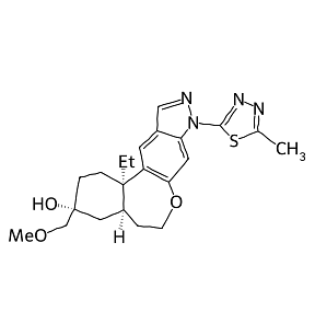 CC[C@@]12CC[C@](O)(COC)C[C@@H]1CCOc1cc3c(cnn3-c3nnc(C)s3)cc12